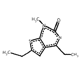 CCc1cc2c(CC)nc(=O)n(C)c2s1